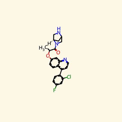 CC(Oc1ccc2c(-c3ccc(F)cc3Cl)ccnc2c1)C(=O)N1CC2C[C@@H]1CN2